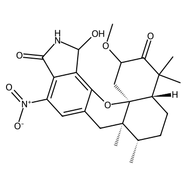 COC1C[C@@]23Oc4c(cc([N+](=O)[O-])c5c4C(O)NC5=O)C[C@]2(C)[C@@H](C)CC[C@H]3C(C)(C)C1=O